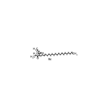 C=CC(=O)C(CCCCCCCCCCCCCCCCCCCCC)[N+](C)(C)CCC.[Br-]